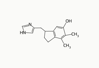 Cc1c(O)cc2c(c1C)CCC2Cc1c[nH]cn1